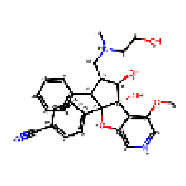 COc1cncc2c1[C@]1(O)[C@H](O)[C@H](CN(C)CCO)C(c3ccccc3)C1(c1ccc(C#N)cc1)O2